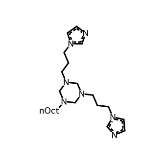 CCCCCCCCN1CN(CCCn2ccnc2)CN(CCCn2ccnc2)C1